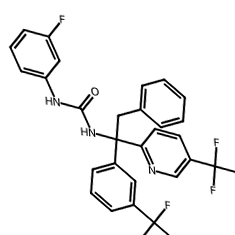 O=C(Nc1cccc(F)c1)NC(Cc1ccccc1)(c1cccc(C(F)(F)F)c1)c1ccc(C(F)(F)F)cn1